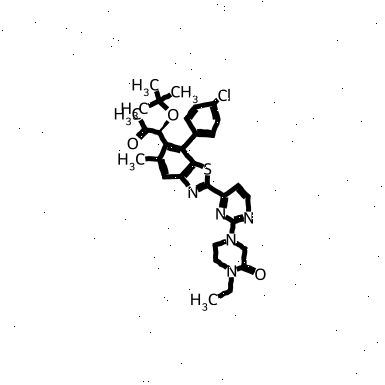 CCN1CCN(c2nccc(-c3nc4cc(C)c([C@H](OC(C)(C)C)C(C)=O)c(-c5ccc(Cl)cc5)c4s3)n2)CC1=O